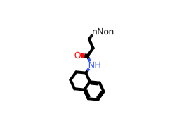 CCCCCCCCCCCC(=O)NC1CCCc2ccccc21